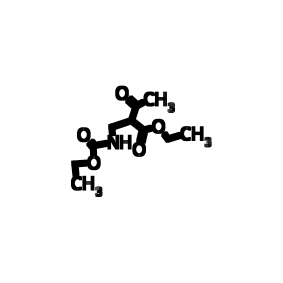 CCOC(=O)NCC(C(C)=O)C(=O)OCC